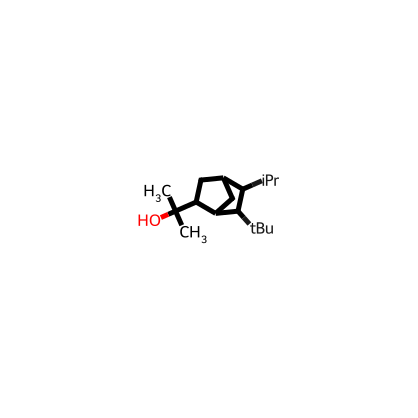 CC(C)C1C2CC(C1C(C)(C)C)C(C(C)(C)O)C2